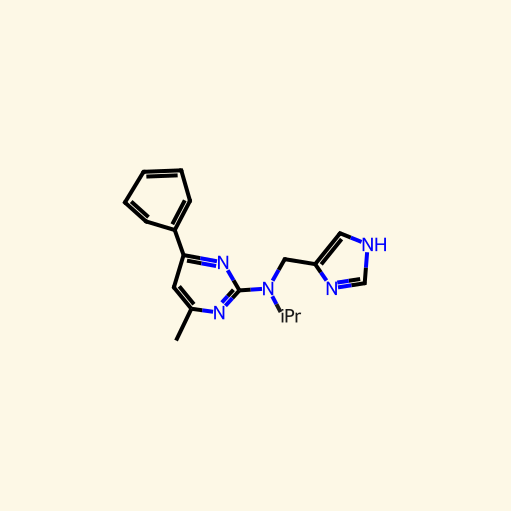 Cc1cc(-c2ccccc2)nc(N(Cc2c[nH]cn2)C(C)C)n1